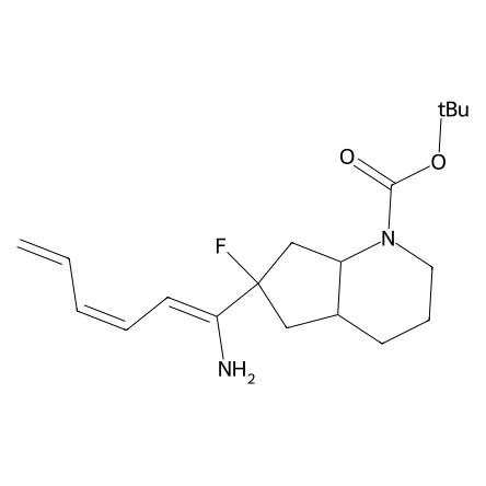 C=C/C=C\C=C(/N)C1(F)CC2CCCN(C(=O)OC(C)(C)C)C2C1